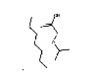 CC(C)OCC(=O)O.CCCCCCC